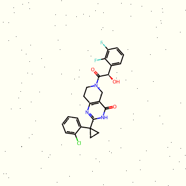 O=C([C@H](O)c1cccc(F)c1F)N1CCc2nc(C3(c4ccccc4Cl)CC3)[nH]c(=O)c2C1